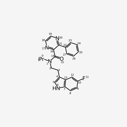 CC(C)N(CCc1c[nH]c2ccc(F)cc12)C(=O)c1nccnc1-c1ccccc1